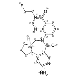 Nc1ncc2c(n1)N1CCC[C@H]1CN(c1cccc3c(=O)n(CCF)cnc13)C2=O